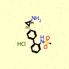 CS(=O)(=O)Nc1ccccc1-c1ccc([C@@H]2C[C@H]2N)cc1.Cl